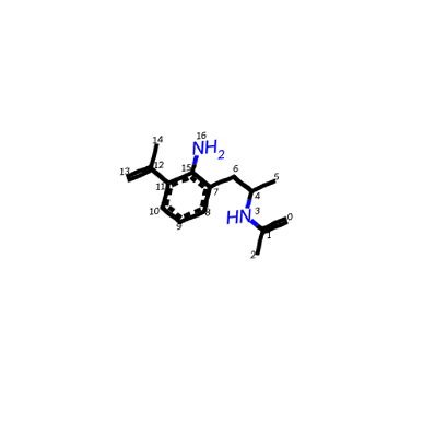 C=C(C)NC(C)Cc1cccc(C(=C)C)c1N